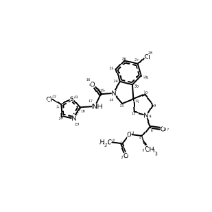 CC(=O)O[C@H](C)C(=O)N1CCC2(C1)CN(C(=O)Nc1ncc(Cl)s1)c1ccc(Cl)cc12